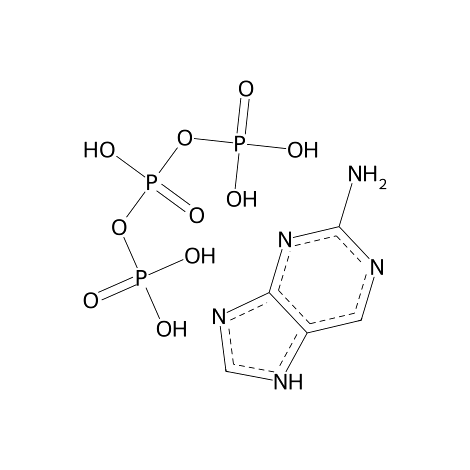 Nc1ncc2[nH]cnc2n1.O=P(O)(O)OP(=O)(O)OP(=O)(O)O